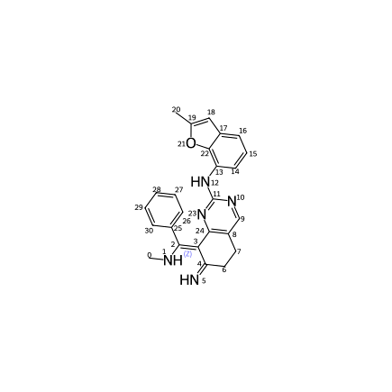 CN/C(=C1\C(=N)CCc2cnc(Nc3cccc4cc(C)oc34)nc21)c1ccccc1